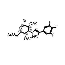 CC(=O)OC[C@H]1O[C@H](Br)[C@H](OC(C)=O)[C@@H](n2cc(-c3cc(F)c(F)c(F)c3)nn2)[C@H]1OC(C)=O